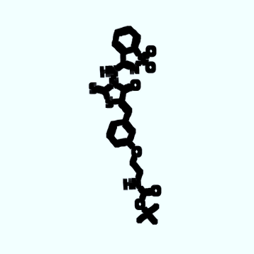 CC(C)(C)OC(=O)NCCOc1cccc(C=C2SC(=S)N(NC3=NS(=O)(=O)c4ccccc43)C2=O)c1